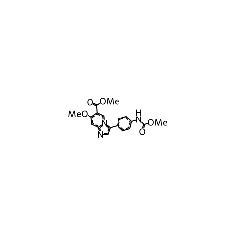 COC(=O)Nc1ccc(-c2cnc3cc(OC)c(C(=O)OC)cn23)cc1